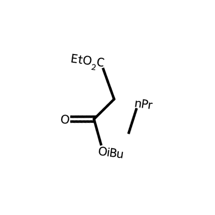 CCCC.CCOC(=O)CC(=O)OCC(C)C